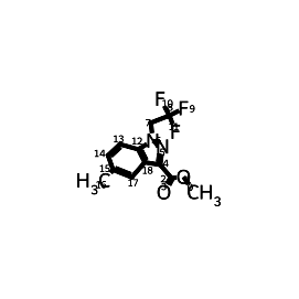 COC(=O)c1nn(CC(F)(F)F)c2ccc(C)cc12